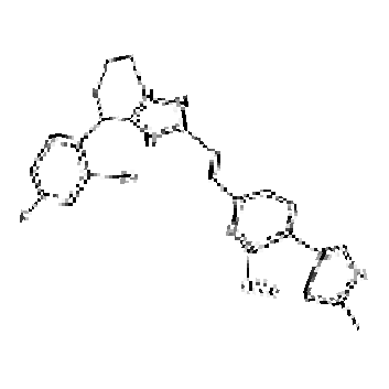 COc1nc(C=Cc2nc3n(n2)CCCC3c2ccc(F)cc2Br)ccc1-n1cnc(C)c1